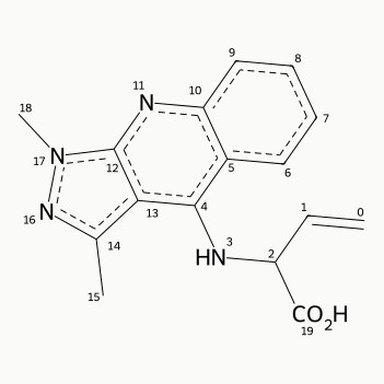 C=CC(Nc1c2ccccc2nc2c1c(C)nn2C)C(=O)O